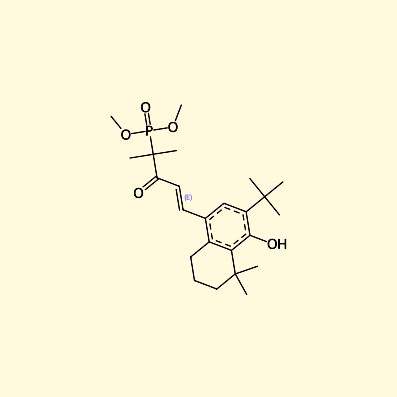 COP(=O)(OC)C(C)(C)C(=O)/C=C/c1cc(C(C)(C)C)c(O)c2c1CCCC2(C)C